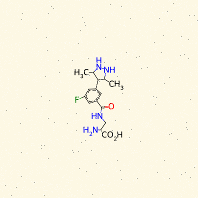 CC1NNC(C)C1c1cc(F)cc(C(=O)NC[C@@H](N)C(=O)O)c1